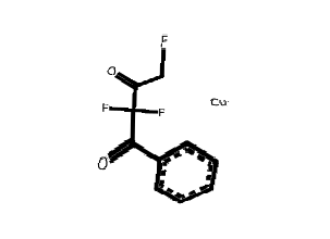 O=C(CF)C(F)(F)C(=O)c1ccccc1.[Cu]